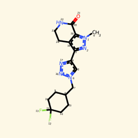 Cn1nc(-c2cn(CC3CCC(F)(F)CC3)nn2)c2c1C(=O)NCC2